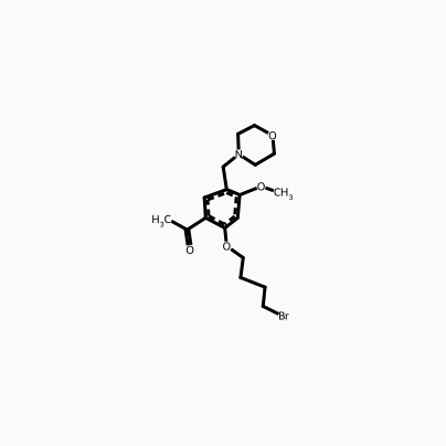 COc1cc(OCCCCBr)c(C(C)=O)cc1CN1CCOCC1